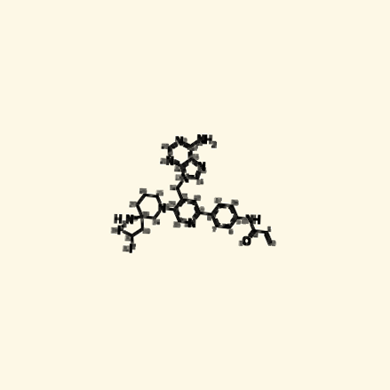 C=CC(=O)Nc1ccc(-c2cc(Cn3cnc4c(N)ncnc43)c(N3CCCC(N)(CC(F)F)C3)cn2)cc1